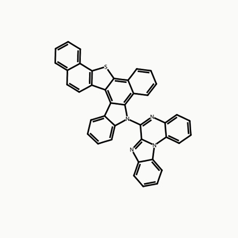 c1ccc2c(c1)ccc1c2sc2c3ccccc3c3c(c4ccccc4n3-c3nc4ccccc4n4c3nc3ccccc34)c12